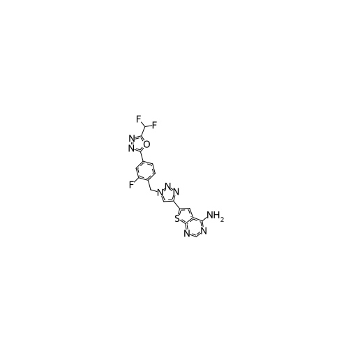 Nc1ncnc2sc(-c3cn(Cc4ccc(-c5nnc(C(F)F)o5)cc4F)nn3)cc12